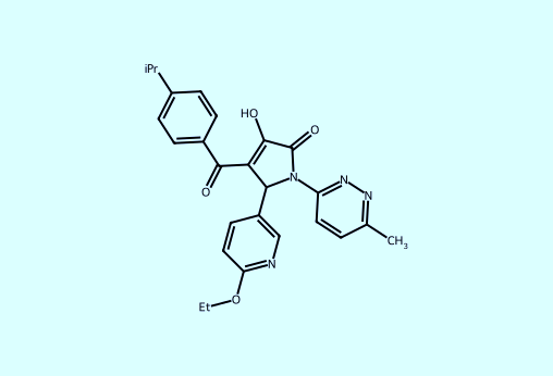 CCOc1ccc(C2C(C(=O)c3ccc(C(C)C)cc3)=C(O)C(=O)N2c2ccc(C)nn2)cn1